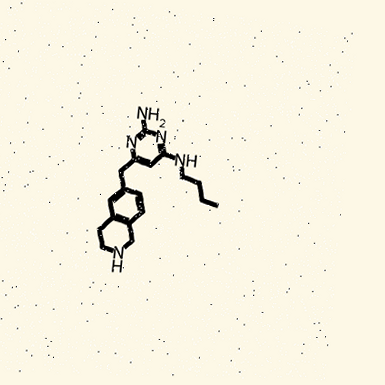 CCCCNc1cc(Cc2ccc3c(c2)CCNC3)nc(N)n1